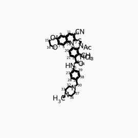 CC(=O)N(Sc1nc2cc3c(cc2cc1C#N)OCCO3)c1cccc(C(=O)Nc2ccc(CN3CCN(C)CC3)cc2)c1C.Cl